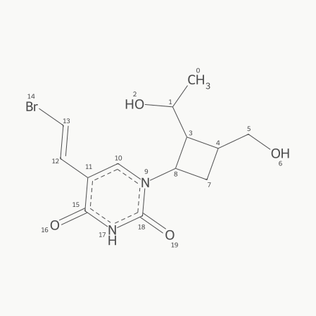 CC(O)C1C(CO)CC1n1cc(C=CBr)c(=O)[nH]c1=O